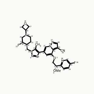 CO[C@H](COc1cc(-c2nnn(C[C@@H]3CCN(C4COC4)C[C@@H]3F)c2C)cn2ncc(C#N)c12)c1ccc(F)cn1